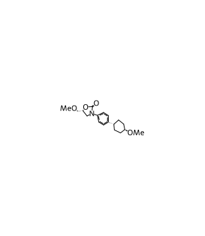 COC[C@H]1CN(c2ccc([C@H]3CC[C@H](OC)CC3)cc2)C(=O)O1